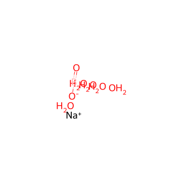 O.O.O.O.O.O=B[O-].[Na+]